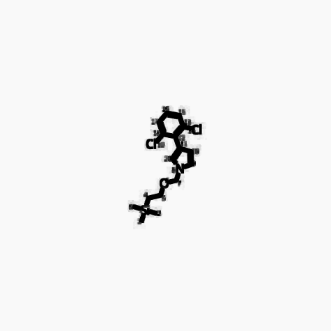 C[Si](C)(C)CCOCn1ccc(-c2c(Cl)cccc2Cl)c1